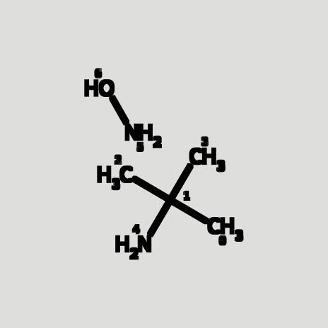 CC(C)(C)N.NO